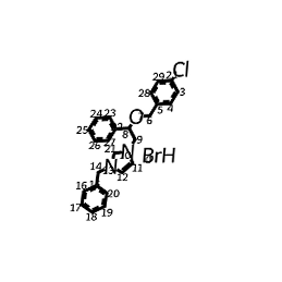 Br.Clc1ccc(COC(CN2C=CN(Cc3ccccc3)C2)c2ccccc2)cc1